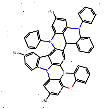 CC(C)(C)c1cc2c3c(c1)N(c1ccccc1)c1c(cc4c5c1c1cc(C(C)(C)C)ccc1n5-c1cc(C(C)(C)C)cc5c1B4c1ccccc1O5)B3c1ccccc1N2c1ccccc1